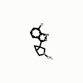 CN1CC2CC2(c2n[nH]c3c(Cl)cccc23)C1